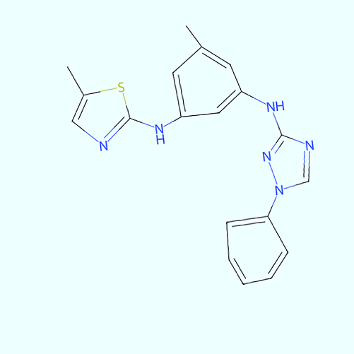 Cc1cc(Nc2ncn(-c3ccccc3)n2)cc(Nc2ncc(C)s2)c1